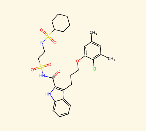 Cc1cc(C)c(Cl)c(OCCCc2c(C(=O)NS(=O)(=O)CCNS(=O)(=O)C3CCCCC3)[nH]c3ccccc23)c1